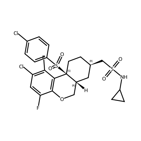 O=S(=O)(C[C@@H]1CC[C@@]2(S(=O)(=O)c3ccc(Cl)cc3)c3c(F)c(Cl)cc(F)c3OC[C@H]2C1)NC1CC1